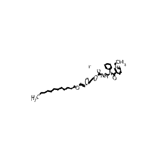 CCCCCCCCCCCCOCCOCCOC(=O)NCCN(C(=O)c1ccc[n+](CC)c1)c1ccccc1.[I-]